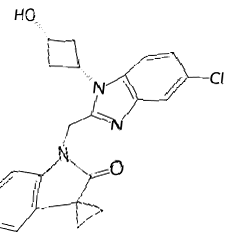 O=C1N(Cc2nc3cc(Cl)ccc3n2[C@H]2C[C@@H](O)C2)c2cnccc2C12CC2